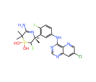 CC1(C)C(N)=N[C@](C)(c2cc(Nc3ncnc4cc(Cl)cnc34)ccc2F)C(F)S1(O)O